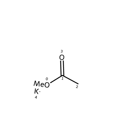 COC(C)=O.[K]